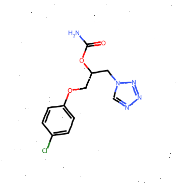 NC(=O)OC(COc1ccc(Cl)cc1)Cn1cnnn1